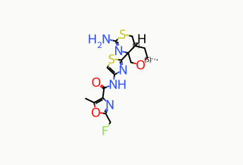 Cc1oc(CF)nc1C(=O)Nc1csc(C23CO[C@@H](C)C[C@H]2CSC(N)=N3)n1